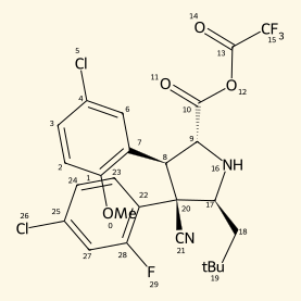 COc1ccc(Cl)cc1[C@H]1[C@H](C(=O)OC(=O)C(F)(F)F)N[C@@H](CC(C)(C)C)[C@]1(C#N)c1ccc(Cl)cc1F